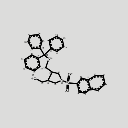 O=S(=O)(c1ccc2ccccc2c1)N1CC(CO)C(CSC(c2ccccc2)(c2ccccc2)c2ccccc2)C1